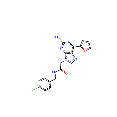 Nc1nc(-c2ccco2)c2ncn(CC(=O)NCc3ccc(Cl)cc3)c2n1